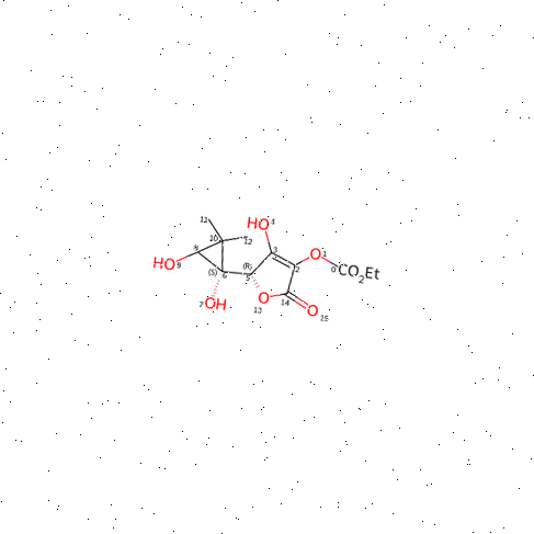 CCOC(=O)OC1=C(O)[C@@H]([C@@]2(O)C(O)C2(C)C)OC1=O